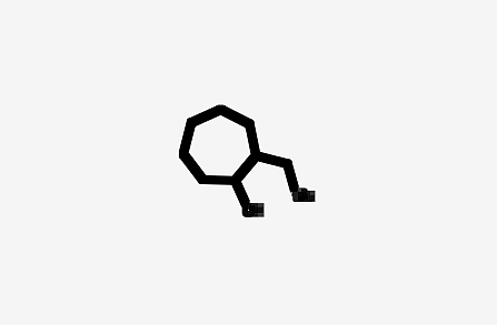 CC(C)(C)CC1CCCCCC1O